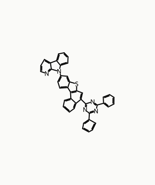 c1ccc(-c2nc(-c3ccccc3)nc(-c3cc4sc5cc(-n6c7ccccc7c7cccnc76)ccc5c4c4ccccc34)n2)cc1